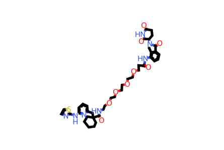 O=C1CCC(N2Cc3c(NC(=O)CCOCCOCCOCCOCCNC(=O)C4(Cc5cccc(Nc6nccs6)n5)CCCCC4)cccc3C2=O)C(=O)N1